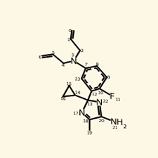 C=CCN(CC=C)c1ccc(F)c(C2(C3CC3)N=C(C)C(N)=N2)c1